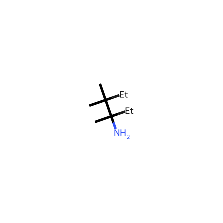 CCC(C)(C)C(C)(N)CC